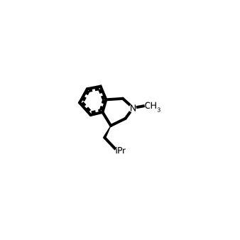 CC(C)C[C@@H]1CN(C)Cc2ccccc21